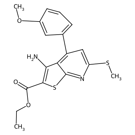 CCOC(=O)c1sc2nc(SC)cc(-c3cccc(OC)c3)c2c1N